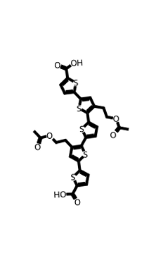 CC(=O)OCCc1cc(-c2ccc(C(=O)O)s2)sc1-c1ccc(-c2sc(-c3ccc(C(=O)O)s3)cc2CCOC(C)=O)s1